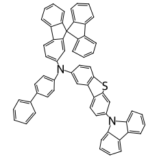 c1ccc(-c2ccc(N(c3ccc4c(c3)C3(c5ccccc5-c5ccccc53)c3ccccc3-4)c3ccc4sc5cc(-n6c7ccccc7c7ccccc76)ccc5c4c3)cc2)cc1